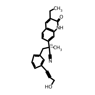 CCc1cc2ccc([C@@](C)(C#N)Cc3cccc(C#CCO)c3)cc2[nH]c1=O